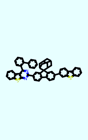 c1ccc(-c2ccccc2-c2nc(-c3ccc4c(c3)C3(c5cc(-c6ccc7c(c6)sc6ccccc67)ccc5-4)C4CC5CC(C4)CC3C5)nc3sc4ccccc4c23)cc1